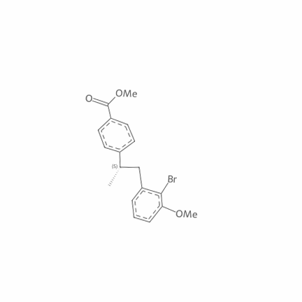 COC(=O)c1ccc([C@@H](C)Cc2cccc(OC)c2Br)cc1